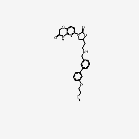 COCCOc1cccc(-c2cccc(CNCCC3CN(c4ccc5c(n4)NC(=O)CO5)C(=O)O3)c2)c1